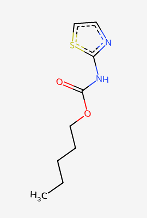 CCCCCOC(=O)Nc1nccs1